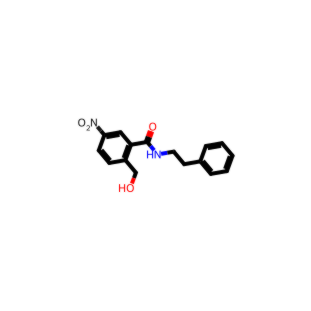 O=C(NCCc1ccccc1)c1cc([N+](=O)[O-])ccc1CO